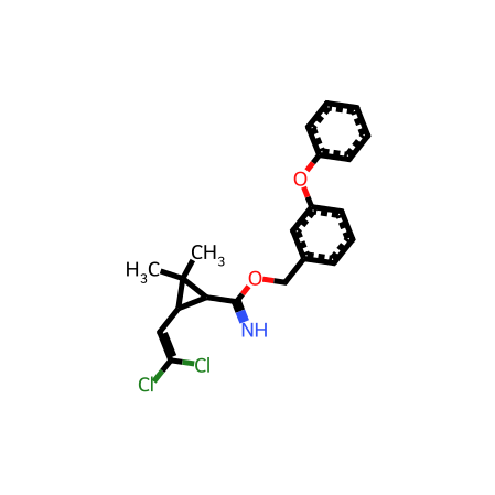 CC1(C)C(C=C(Cl)Cl)C1C(=N)OCc1cccc(Oc2ccccc2)c1